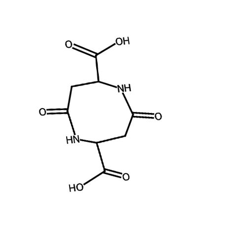 O=C1CC(C(=O)O)NC(=O)CC(C(=O)O)N1